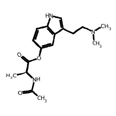 CC(=O)N[C@@H](C)C(=O)Oc1ccc2[nH]cc(CCN(C)C)c2c1